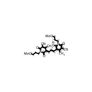 COCCCN1C(=O)C(C#N)=C(C)/C(=C\C=C\c2c(C)c(C#N)c(=O)n(CCCOC)c2O)C1=O